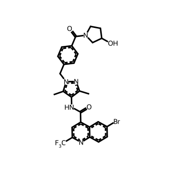 Cc1nn(Cc2ccc(C(=O)N3CCC(O)C3)cc2)c(C)c1NC(=O)c1cc(C(F)(F)F)nc2ccc(Br)cc12